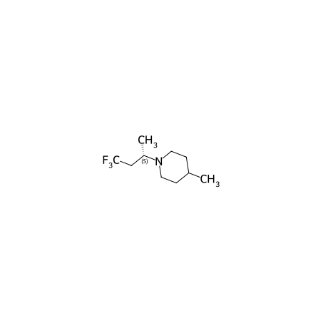 CC1CCN([C@@H](C)CC(F)(F)F)CC1